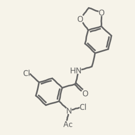 CC(=O)N(Cl)c1ccc(Cl)cc1C(=O)NCc1ccc2c(c1)OCO2